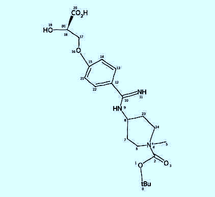 CC(C)(C)OC(=O)[N+]1(C)CCC(NC(=N)c2ccc(OC[C@@H](O)C(=O)O)cc2)CC1